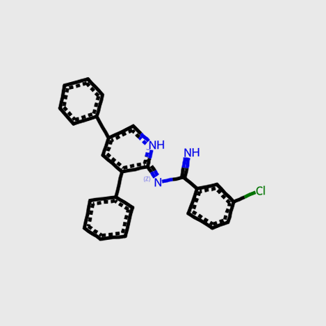 N=C(/N=c1\[nH]cc(-c2ccccc2)cc1-c1ccccc1)c1cccc(Cl)c1